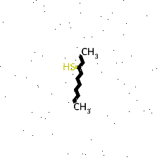 CCCCCCCC(S)CCC